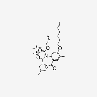 C=CCOC(=O)N1c2cc(OCCCCCI)c(C)cc2C(=O)N2C=C(C)CC2C1O[Si](C)(C)C(C)(C)C